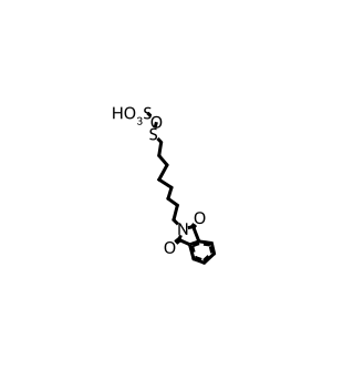 O=C1c2ccccc2C(=O)N1CCCCCCCCSOS(=O)(=O)O